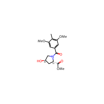 COC(=O)[C@@H]1C[C@@H](O)CN1C(=O)c1cc(OC)c(C)c(OC)c1